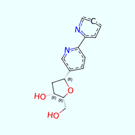 OC[C@H]1O[C@@H](c2ccc(-c3ccccn3)nc2)C[C@H]1O